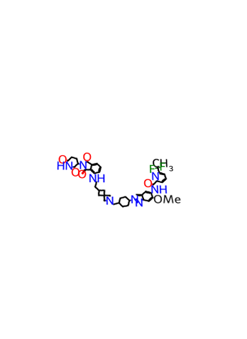 COc1cc2nn(C3CCC(CN4CC5(CC(CCNc6cccc7c6C(=O)N(C6CCC(=O)NC6=O)C7=O)C5)C4)CC3)cc2cc1NC(=O)c1cccc(C(C)(F)F)n1